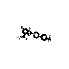 NC(=O)c1cc(F)cc2[nH]c(N3CCN(c4ccc(C(F)(F)F)nc4)CC3)nc12